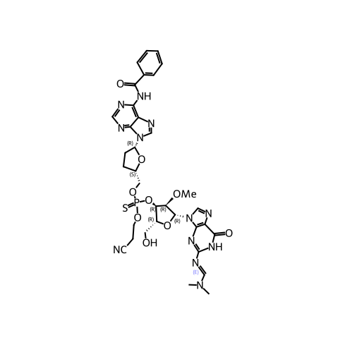 CO[C@@H]1[C@H](OP(=S)(OCCC#N)OC[C@@H]2CC[C@H](n3cnc4c(NC(=O)c5ccccc5)ncnc43)O2)[C@@H](CO)O[C@H]1n1cnc2c(=O)[nH]c(/N=C/N(C)C)nc21